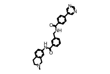 CN1CCc2ccc(NC(=O)c3cccc(CNC(=O)c4ccc(-c5cncnc5)cc4)c3)cc2C1